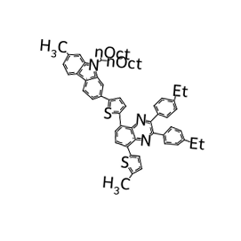 CCCCCCCCC(CCCCCCCC)n1c2cc(C)ccc2c2ccc(-c3ccc(-c4ccc(-c5ccc(C)s5)c5nc(-c6ccc(CC)cc6)c(-c6ccc(CC)cc6)nc45)s3)cc21